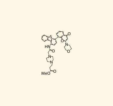 COC(=O)CCN1CCN(CC(=O)Nc2ccc(-c3cccc4c(=O)cc(N5CCOCC5)oc34)c3sc4ccccc4c23)CC1